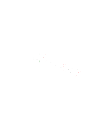 CC(F)(F)C(=O)OCCCCCCC(=O)OC12CC3CC(C1)C1(OCCO1)C(C3)C2